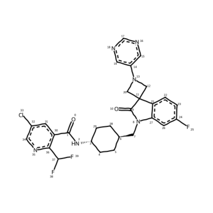 O=C(N[C@H]1CC[C@H](CN2C(=O)C3(CN(c4cncnc4)C3)c3ccc(F)cc32)CC1)c1cc(Cl)cnc1C(F)F